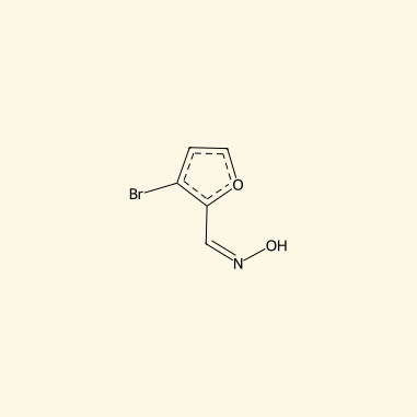 O/N=C\c1occc1Br